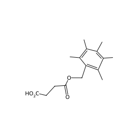 Cc1c(C)c(C)c(COC(=O)CCC(=O)O)c(C)c1C